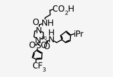 CC(C)c1ccc(CNC(=O)[C@H]2CN(C(=O)NCCCC(=O)O)CCN2S(=O)(=O)c2ccc(C(F)(F)F)cc2)cc1